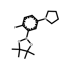 CC1(C)OB(c2cc(N3CCCC3)ccc2F)OC1(C)C